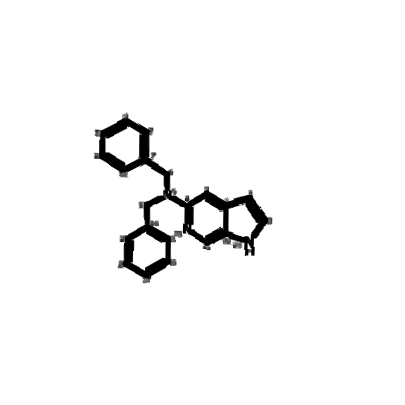 [c]1cc2cc(N(Cc3ccccc3)Cc3ccccc3)ncc2[nH]1